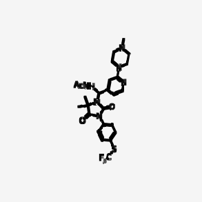 CC(=O)NC(c1ccnc(N2CCN(C)CC2)c1)N1C(=O)N(c2ccc(SC(F)(F)F)cc2)C(=O)C1(C)C